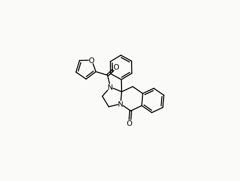 O=C(c1ccco1)N1CCN2C(=O)c3ccccc3CC12c1ccccc1